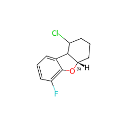 Fc1cccc2c1O[C@H]1CCCC(Cl)C21